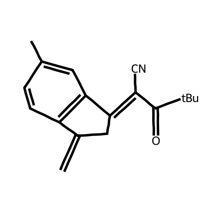 C=C1C/C(=C(/C#N)C(=O)C(C)(C)C)c2cc(C)ccc21